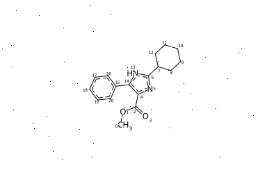 COC(=O)c1nc(C2CCCCC2)[nH]c1-c1ccccc1